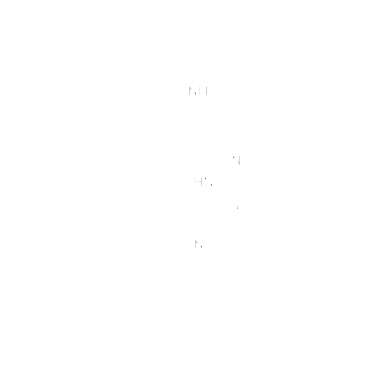 O=C(c1cnc(C(=O)c2c[nH]c3cc(O)ccc23)[nH]1)c1c[nH]c2ccccc12